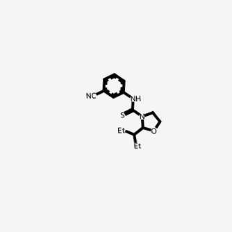 CCC(CC)C1OCCN1C(=S)Nc1cccc(C#N)c1